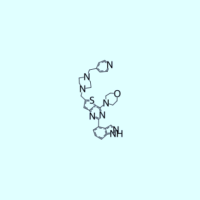 c1cc(-c2nc(N3CCOCC3)c3sc(CN4CCN(Cc5ccncc5)CC4)cc3n2)c2cn[nH]c2c1